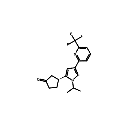 CC(C)n1nc(-c2cccc(C(F)(F)F)n2)cc1[C@@H]1CCC(=O)C1